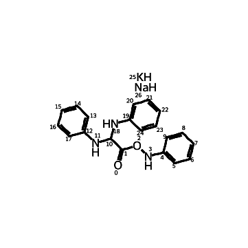 O=C(ONc1ccccc1)C(Nc1ccccc1)Nc1ccccc1.[KH].[NaH]